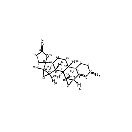 C[C@]12CCC(=O)C=C1[C@@H]1C[C@@H]1[C@H]1[C@@H]3[C@@H]4C[C@@H]4C4(CCC(=O)O4)[C@@]3(C)CC[C@@H]12